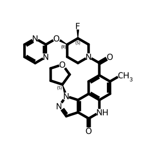 Cc1cc2[nH]c(=O)c3cnn([C@H]4CCOC4)c3c2cc1C(=O)N1CC[C@@H](Oc2ncccn2)[C@@H](F)C1